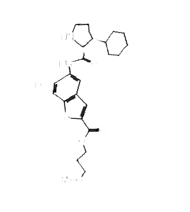 COCCCOC(=O)c1cc2cc(NC(=O)[C@H]3NCC[C@H]3C3CCCCC3)ccc2o1.Cl